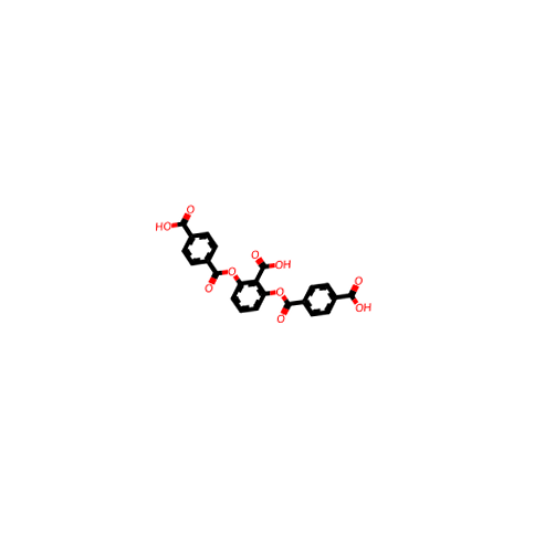 O=C(O)c1ccc(C(=O)Oc2cccc(OC(=O)c3ccc(C(=O)O)cc3)c2C(=O)O)cc1